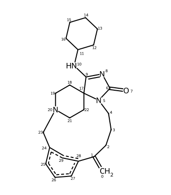 C=C1CCCN2C(=O)N=C(NC3CCCCC3)C23CCN(CC3)Cc2cccc1c2